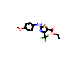 CCOC(=O)c1sc(Nc2ccc(OC)cc2)nc1C(F)(F)F